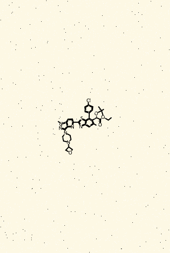 CCOC(=O)[C@@H](OC(C)(C)C)c1c(C)cc2nc(-c3ccc4c(n3)c(N3CCN(C5COC5)CC3)nn4C)sc2c1-c1ccc(Cl)cc1